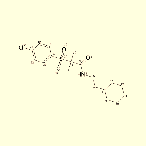 CC(C)(C(=O)NCCC1CCCCC1)S(=O)(=O)c1ccc(Cl)cc1